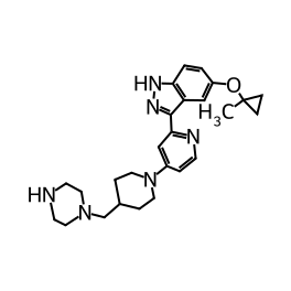 CC1(Oc2ccc3[nH]nc(-c4cc(N5CCC(CN6CCNCC6)CC5)ccn4)c3c2)CC1